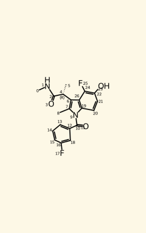 CNC(=O)[C@H](C)c1c(C)n(C(=O)c2cccc(F)c2)c2ccc(O)c(F)c12